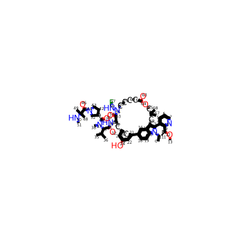 CCn1c(-c2cccnc2[C@H](C)OC)c2c3cc(ccc31)-c1cc(O)cc(c1)C[C@H](NC(=O)C(C(C)C)N(C)C(=O)[C@H]1CCN(C(=O)C(C)(C)NC)C1)C(=O)N(NF)CCCCC(=O)OCC(C)(C)C2